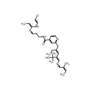 C\C=C(C)/C=N\C=C(\C=C(/CC)Cc1cc(C(=O)NCC/C=N\C(=C/C)N/C=C/Cl)ccn1)C(C)(C)O